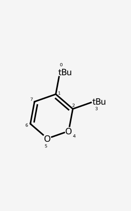 CC(C)(C)C1=C(C(C)(C)C)OOC=C1